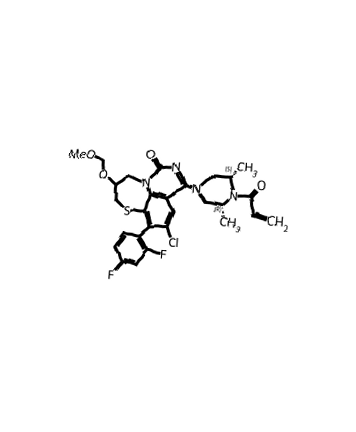 C=CC(=O)N1[C@H](C)CN(c2nc(=O)n3c4c(c(-c5ccc(F)cc5F)c(Cl)cc24)SCC(OCOC)C3)C[C@@H]1C